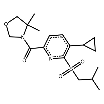 CC(C)CS(=O)(=O)c1nc(C(=O)N2COCC2(C)C)ccc1C1CC1